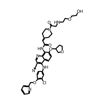 N#Cc1cnc2c(NC(=O)C=C3CCN(C(=O)CNCCOCCO)CC3)c(OC3CCOC3)ccc2c1Nc1ccc(OCc2ccccn2)c(Cl)c1